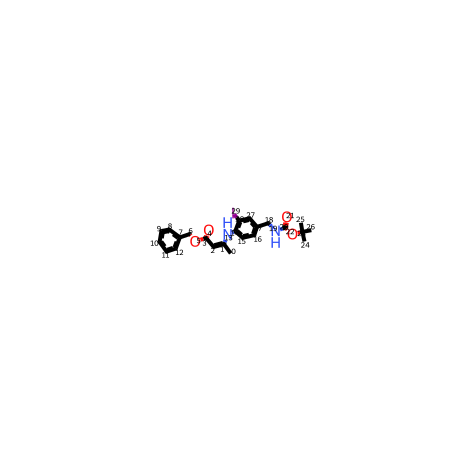 CC(=CC(=O)OCc1ccccc1)Nc1ccc(CNC(=O)OC(C)(C)C)cc1I